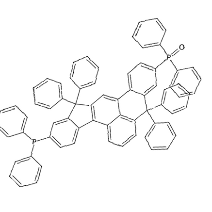 O=P(c1ccccc1)(c1ccccc1)c1ccc2c(c1)C(c1ccccc1)(c1ccccc1)c1cccc3c4c(cc-2c13)C(c1ccccc1)(c1ccccc1)c1cc(P(c2ccccc2)c2ccccc2)ccc1-4